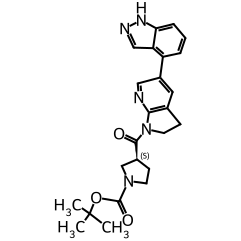 CC(C)(C)OC(=O)N1CC[C@H](C(=O)N2CCc3cc(-c4cccc5[nH]ncc45)cnc32)C1